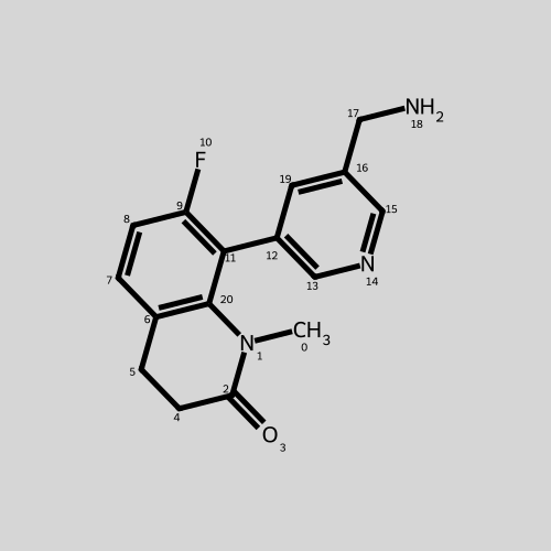 CN1C(=O)CCc2ccc(F)c(-c3cncc(CN)c3)c21